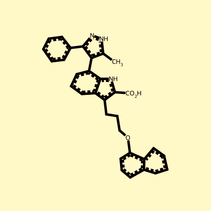 Cc1[nH]nc(-c2ccccc2)c1-c1cccc2c(CCCOc3cccc4ccccc34)c(C(=O)O)[nH]c12